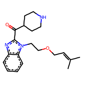 CC(C)=CCOCCn1c(C(=O)C2CCNCC2)nc2ccccc21